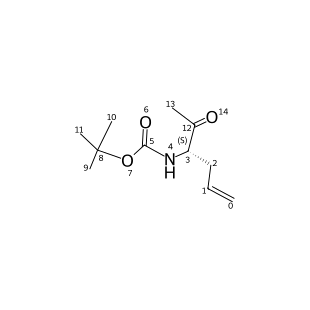 C=CC[C@H](NC(=O)OC(C)(C)C)C(C)=O